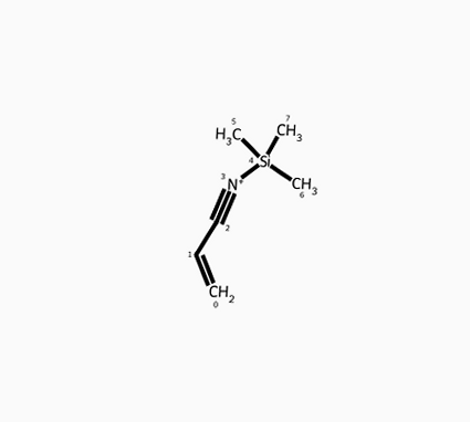 C=CC#[N+][Si](C)(C)C